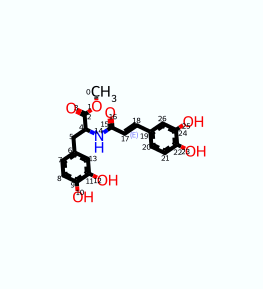 COC(=O)C(Cc1ccc(O)c(O)c1)NC(=O)/C=C/c1ccc(O)c(O)c1